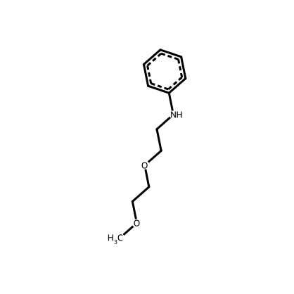 COCCOCCNc1ccccc1